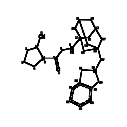 N#CC1CCCN1C(=O)CNC12CC3CC(CC(CN4Cc5ccccc5C4)(C3)C1)C2